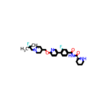 CC(C)(F)CN1CCC(COc2ccc(-c3ccc(C(=O)NC(=O)[C@@H]4CCCCN4)cc3F)cn2)CC1